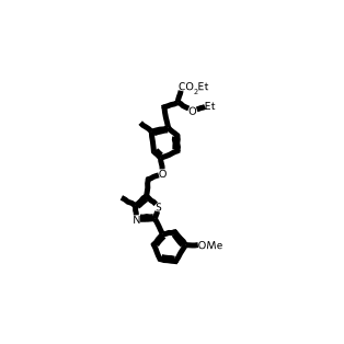 CCOC(=O)C(Cc1ccc(OCc2sc(-c3cccc(OC)c3)nc2C)cc1C)OCC